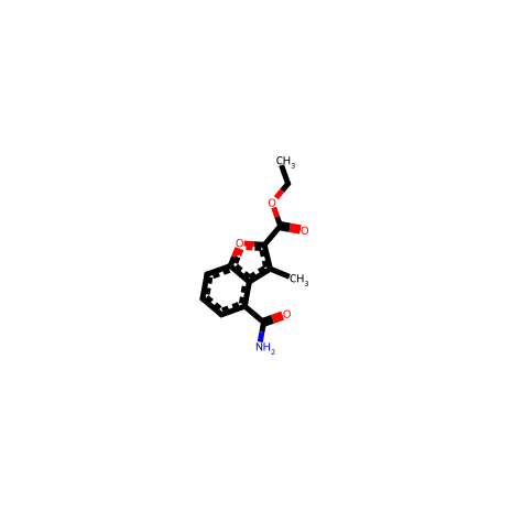 CCOC(=O)c1oc2cccc(C(N)=O)c2c1C